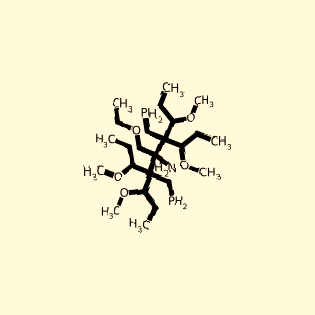 CCOCC(N)(C(CP)(C(CC)OC)C(CC)OC)C(CP)(C(CC)OC)C(CC)OC